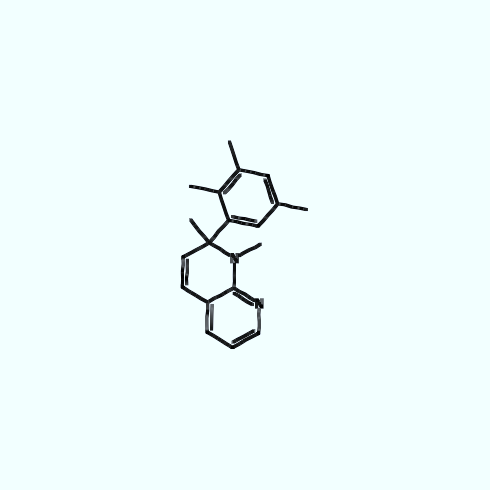 Cc1cc(C)c(C)c(C2(C)C=Cc3cccnc3N2C)c1